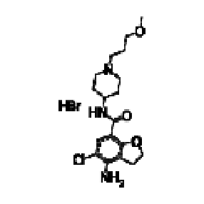 Br.COCCCN1CCC(NC(=O)c2cc(Cl)c(N)c3c2OCC3)CC1